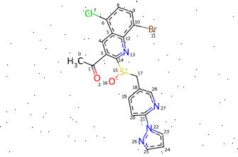 CC(=O)c1cc2c(Cl)ccc(Br)c2nc1[S+]([O-])Cc1ccc(-n2cccn2)nc1